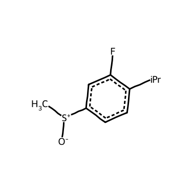 CC(C)c1ccc([S+](C)[O-])cc1F